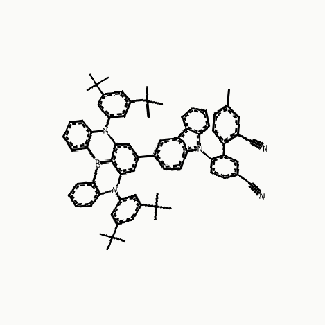 Cc1ccc(-c2cc(C#N)ccc2-n2c3ccccc3c3cc(-c4cc5c6c(c4)N(c4cc(C(C)(C)C)cc(C(C)(C)C)c4)c4ccccc4B6c4ccccc4N5c4cc(C(C)(C)C)cc(C(C)(C)C)c4)ccc32)c(C#N)c1